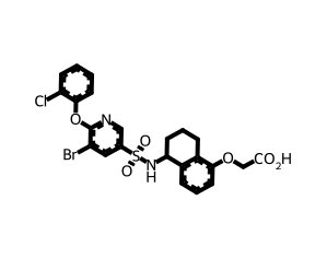 O=C(O)COc1cccc2c1CCCC2NS(=O)(=O)c1cnc(Oc2ccccc2Cl)c(Br)c1